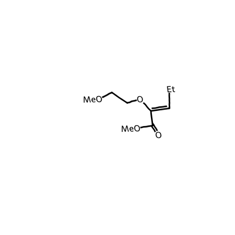 CCC=C(OCCOC)C(=O)OC